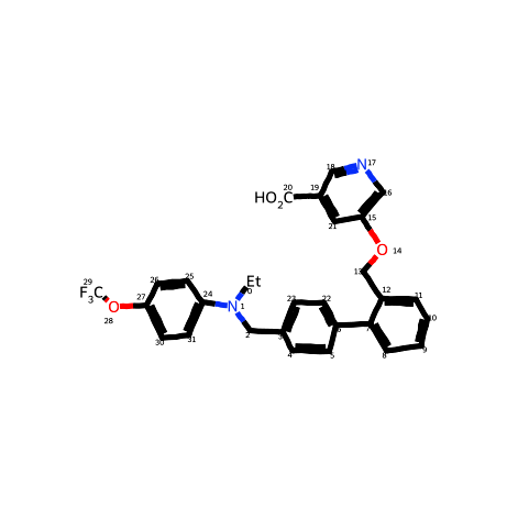 CCN(Cc1ccc(-c2ccccc2COc2cncc(C(=O)O)c2)cc1)c1ccc(OC(F)(F)F)cc1